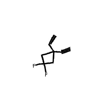 C#CC1(C=C)CC(F)(F)C1